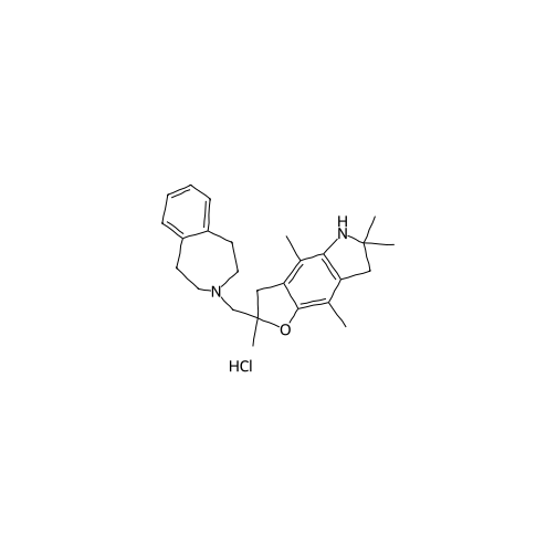 Cc1c2c(c(C)c3c1NC(C)(C)C3)OC(C)(CN1CCc3ccccc3CC1)C2.Cl